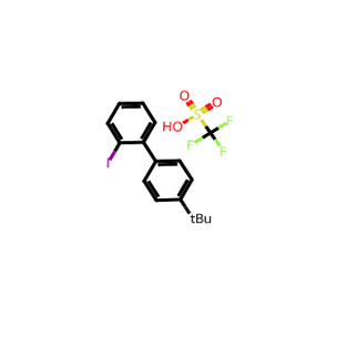 CC(C)(C)c1ccc(-c2ccccc2I)cc1.O=S(=O)(O)C(F)(F)F